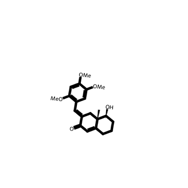 COc1cc(OC)c(OC)cc1C=C1C[C@@]2(C)C(=CC1=O)CCC[C@@H]2O